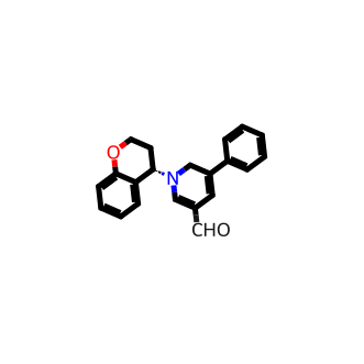 O=CC1=CN([C@H]2CCOc3ccccc32)CC(c2ccccc2)=C1